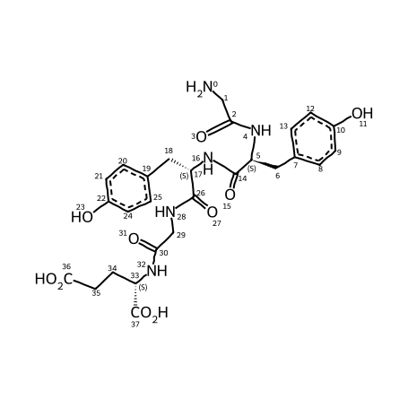 NCC(=O)N[C@@H](Cc1ccc(O)cc1)C(=O)N[C@@H](Cc1ccc(O)cc1)C(=O)NCC(=O)N[C@@H](CCC(=O)O)C(=O)O